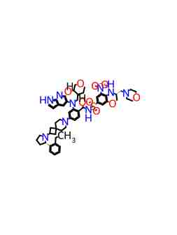 CCc1ccccc1[C@@H]1CCCN1C1CC2(CCN(c3ccc(C(=O)NS(=O)(=O)c4cc5c(c([N+](=O)[O-])c4)N[C@H](CN4CCOCC4)CO5)c(N4C[C@H]5CCOC[C@@H]5Oc5nc6[nH]ccc6cc54)c3)CC2)C1